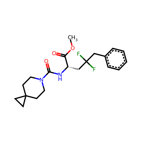 COC(=O)[C@H](CC(F)(F)Cc1ccccc1)NC(=O)N1CCC2(CC1)CC2